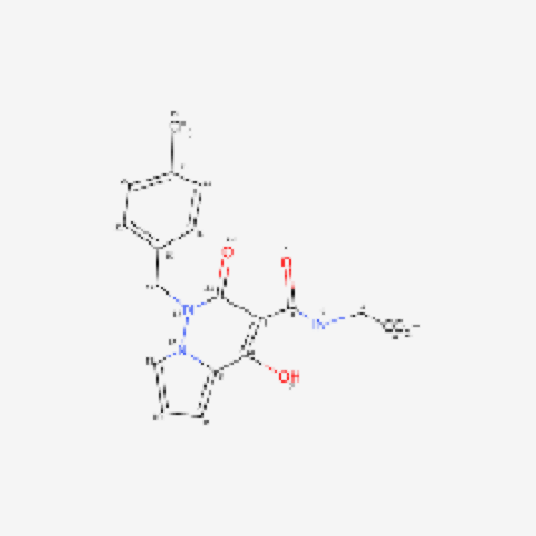 O=C(O)CNC(=O)c1c(O)c2cccn2n(Cc2ccc(C(F)(F)F)cc2)c1=O